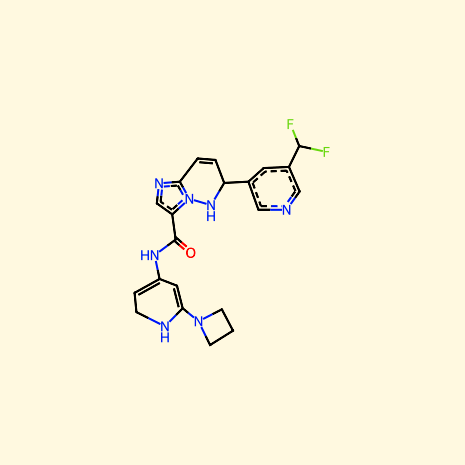 O=C(NC1=CCNC(N2CCC2)=C1)c1cnc2n1NC(c1cncc(C(F)F)c1)C=C2